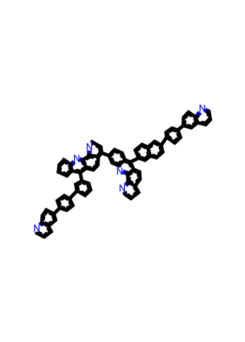 c1cc(-c2ccc(-c3ccc4ncccc4c3)cc2)cc(-c2c3ccccc3nc3c2ccc2c(-c4ccc5c(-c6ccc7cc(-c8ccc(-c9ccc%10ncccc%10c9)cc8)ccc7c6)c6ccc7cccnc7c6nc5c4)ccnc23)c1